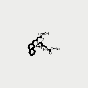 CC(C)(C)OC(=O)NCc1cn(C(CC(=O)NO)Cc2ccc3ccccc3c2)nn1